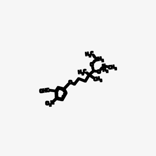 C[SiH2]OC(O[SiH2]C)C(C)(C)CCCOc1ccc([N+](=O)[O-])c(C=O)c1